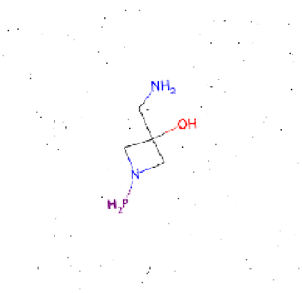 NCC1(O)CN(P)C1